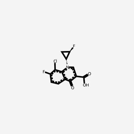 O=C(O)c1cn([C@@H]2C[C@H]2F)c2c(Cl)c(F)ccc2c1=O